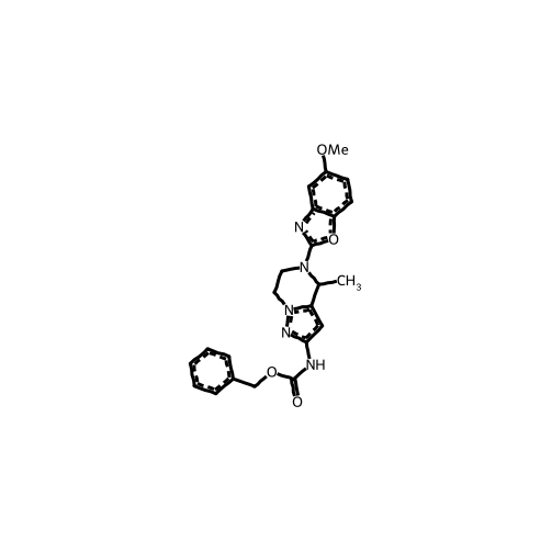 COc1ccc2oc(N3CCn4nc(NC(=O)OCc5ccccc5)cc4C3C)nc2c1